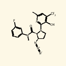 Cc1cc(C(F)(F)F)c(C#N)c(N2CC[C@@H](N=[N+]=[N-])[C@H]2C(=O)N(C)c2cccc(F)c2)n1